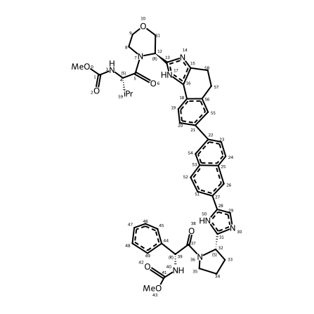 COC(=O)N[C@H](C(=O)N1CCOC[C@H]1c1nc2c([nH]1)-c1ccc(-c3ccc4cc(-c5cnc([C@@H]6CCCN6C(=O)[C@H](NC(=O)OC)c6ccccc6)[nH]5)ccc4c3)cc1CC2)C(C)C